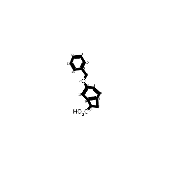 O=C(O)C1Cc2ccc(OCc3ccccc3)cc21